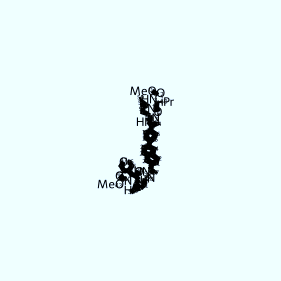 COC(=O)N[C@H](C(=O)N1C2C(C[C@H]1c1ncc(-c3ccc(-c4ccc5cc(-c6cnc([C@@H]7CC8C(C)C8N7C(=O)[C@@H](NC(=O)OC)C7CCOCC7)[nH]6)ccc5c4)cc3)[nH]1)[C@H]2C)C(C)C